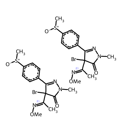 CO/N=C(\C)C1(Br)C(=O)N(C)N=C1c1ccc([S+](C)[O-])cc1.CO/N=C(\C)C1(Br)C(=O)N(C)N=C1c1ccc([S+](C)[O-])cc1